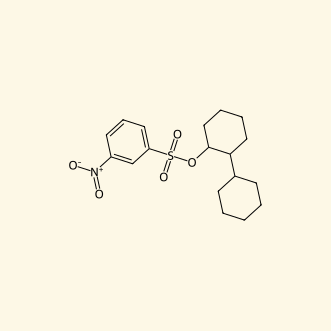 O=[N+]([O-])c1cccc(S(=O)(=O)OC2CCCCC2C2CCCCC2)c1